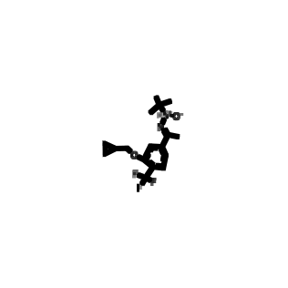 CC(=N[S@@+]([O-])C(C)(C)C)c1ccc(C(F)(F)F)c(OCC2CC2)c1